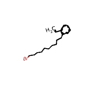 C=Cc1ccccc1CCCCCCCCCCBr